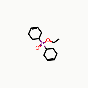 CCOP(=O)(C1CC=CCC1)C1CC=CCC1